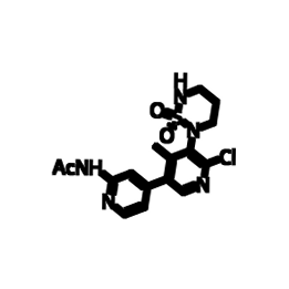 CC(=O)Nc1cc(-c2cnc(Cl)c(N3CCCNS3(=O)=O)c2C)ccn1